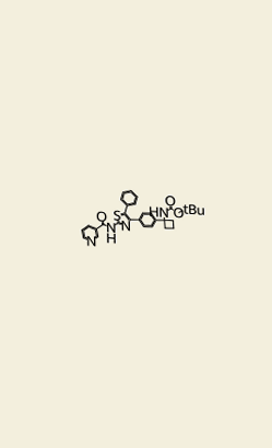 CC(C)(C)OC(=O)NC1(c2ccc(-c3nc(NC(=O)c4cccnc4)sc3-c3ccccc3)cc2)CCC1